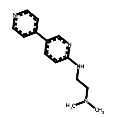 CN(C)CCNc1ccc(-c2ccncc2)cn1